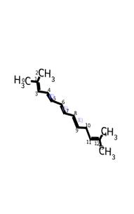 CC(C)=C/C=C/C=C/C=C/CC=C(C)C